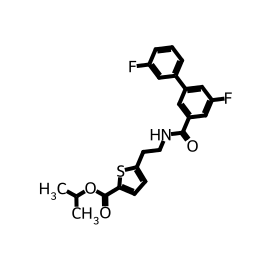 CC(C)OC(=O)c1ccc(CCNC(=O)c2cc(F)cc(-c3cccc(F)c3)c2)s1